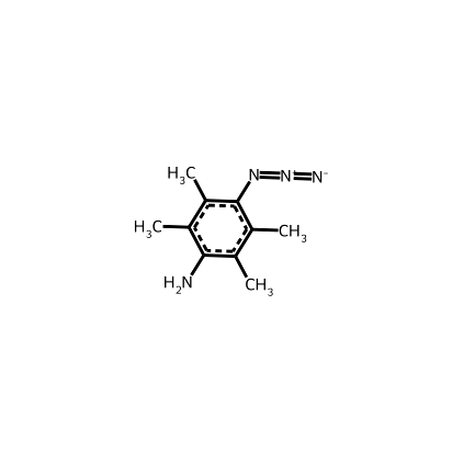 Cc1c(C)c(N=[N+]=[N-])c(C)c(C)c1N